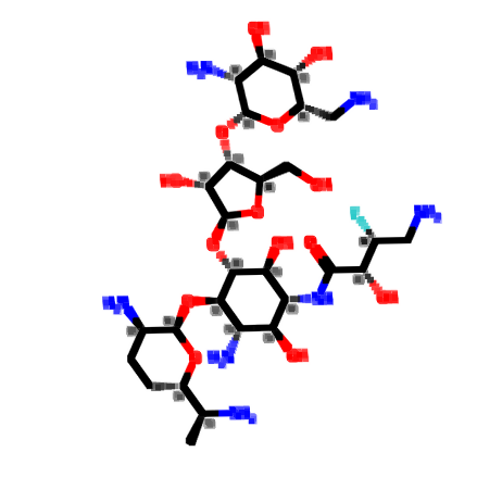 C[C@H](N)[C@@H]1CC[C@@H](N)[C@@H](O[C@@H]2[C@@H](N)[C@H](O)[C@@H](NC(=O)[C@@H](O)[C@H](F)CN)[C@H](O)[C@H]2O[C@@H]2O[C@H](CO)[C@@H](O[C@H]3O[C@@H](CN)[C@@H](O)[C@H](O)[C@H]3N)[C@H]2O)O1